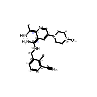 C/C(N)=c1\ncc(N2CC[S+]([O-])CC2)c\c1=C(\N)NCc1cccc(C#N)c1C